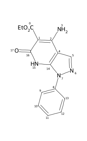 CCOC(=O)c1c(N)c2cnn(-c3ccccc3)c2[nH]c1=O